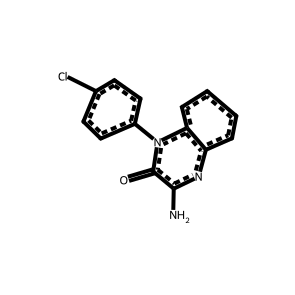 Nc1nc2ccccc2n(-c2ccc(Cl)cc2)c1=O